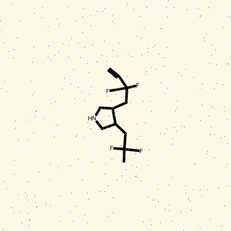 C=CC(F)(F)CC1CNCC1CC(C)(F)F